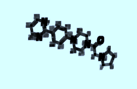 O=C(CN1CCCC1)N1CCN(c2ccc(-c3ncccn3)cc2)CC1